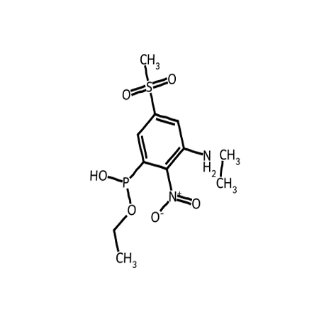 CC.CCOP(O)c1cc(S(C)(=O)=O)cc(N)c1[N+](=O)[O-]